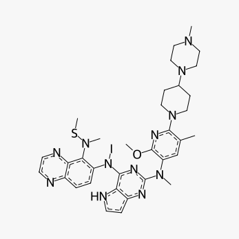 COc1nc(N2CCC(N3CCN(C)CC3)CC2)c(C)cc1N(C)c1nc(N(I)c2ccc3nccnc3c2N(C)SC)c2[nH]ccc2n1